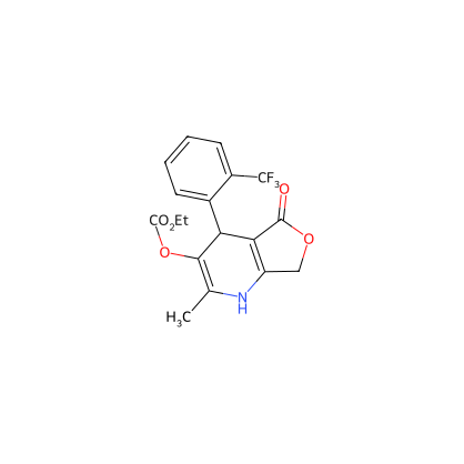 CCOC(=O)OC1=C(C)NC2=C(C(=O)OC2)C1c1ccccc1C(F)(F)F